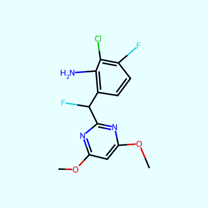 COc1cc(OC)nc(C(F)c2ccc(F)c(Cl)c2N)n1